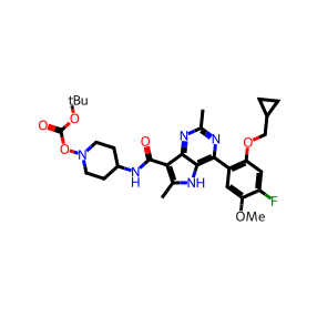 COc1cc(-c2nc(C)nc3c(C(=O)NC4CCN(OC(=O)OC(C)(C)C)CC4)c(C)[nH]c23)c(OCC2CC2)cc1F